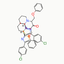 O=C(C(COc1ccccc1)N1CCCC[C@@H]1c1nc(-c2ccc(Cl)cc2)cs1)C(COc1ccccc1)N1CCCC[C@@H]1c1nc(-c2ccc(Cl)cc2)cs1